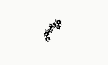 Fc1ccc(F)c([C@H]2CCCN2c2ccn3ncc(-c4nnc(-c5ccnc(N6CCOCC6)c5)[nH]4)c3n2)c1